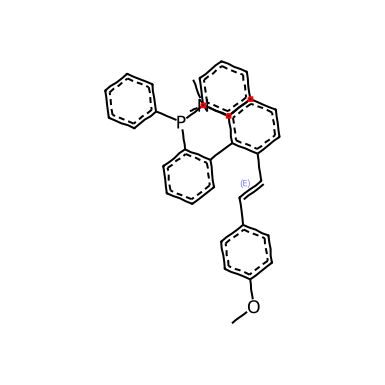 COc1ccc(/C=C/c2cccc(N(C)C)c2-c2ccccc2P(c2ccccc2)c2ccccc2)cc1